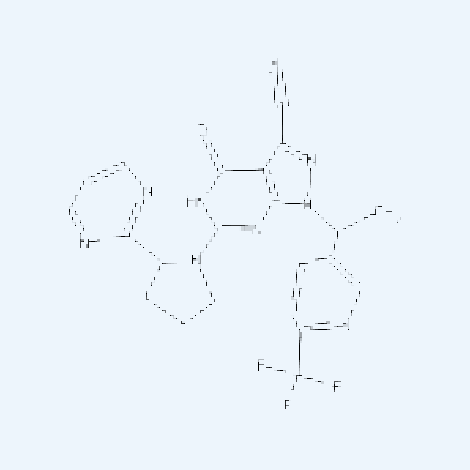 CC(c1ccc(C(F)(F)F)nc1)n1nc(C#N)c2c(=O)[nH]c(N3CCCC3c3ncccn3)nc21